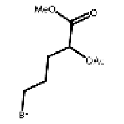 COC(=O)C(CCCBr)OC(C)=O